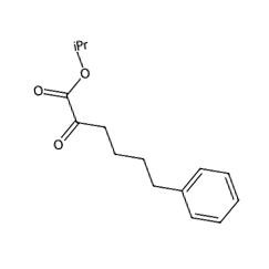 CC(C)OC(=O)C(=O)CCCCc1ccccc1